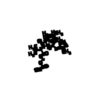 CC(C)=C(C(=O)OCOC(=O)C(C)(C)C)N1C(=O)[C@@H]([C@](C)(O[SiH](C)C)C(C)(C)C)[C@H]1SC(=S)Cc1nnnn1C